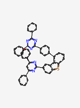 c1ccc(-c2cc(-c3ccccc3)nc(-c3ccc4sc5cccc(-c6ccc(-c7nc(-c8ccccc8)nc(-c8ccccc8)n7)cc6)c5c4c3)n2)cc1